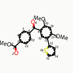 COC(=O)c1ccc(C(=O)c2cc(-c3cccs3)c(OC)cc2OC)cc1